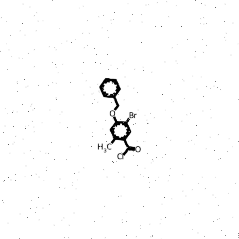 Cc1cc(OCc2ccccc2)c(Br)cc1C(=O)Cl